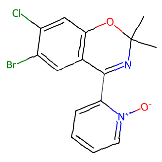 CC1(C)N=C(c2cccc[n+]2[O-])c2cc(Br)c(Cl)cc2O1